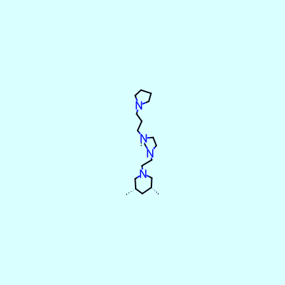 C[C@@H]1C[C@H](C)CN(CCN2[C]N(CCCN3CCCC3)CC2)C1